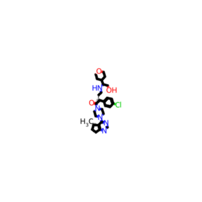 C[C@@H]1CCc2ncnc(N3CCN(C(=O)[C@H](CCNC(CO)C4CCOCC4)c4ccc(Cl)cc4)CC3)c21